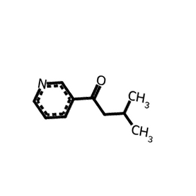 CC(C)CC(=O)c1cccnc1